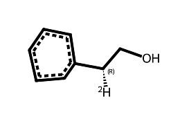 [2H][C@@H](CO)c1ccccc1